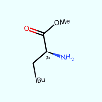 CCC(C)C[C@H](N)C(=O)OC